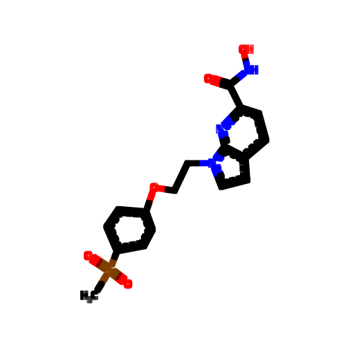 CS(=O)(=O)c1ccc(OCCn2ccc3ccc(C(=O)NO)nc32)cc1